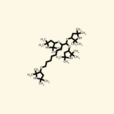 CC1(C)CC(OCCCCCCCC(OC2CC(C)(C)NC2(C)C)C(OC2CC(C)(C)NC2(C)C)OC2CC(C)(C)NC2(C)C)C(C)(C)N1